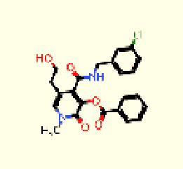 Cn1cc(CCO)c(C(=O)NCc2cccc(Cl)c2)c(OC(=O)c2ccccc2)c1=O